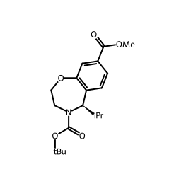 COC(=O)c1ccc2c(c1)OCCN(C(=O)OC(C)(C)C)[C@@H]2C(C)C